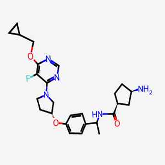 CC(NC(=O)[C@H]1CC[C@@H](N)C1)c1ccc(O[C@@H]2CCN(c3ncnc(OCC4CC4)c3F)C2)cc1